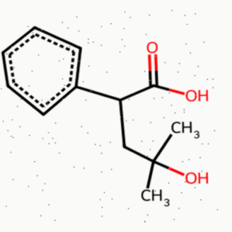 CC(C)(O)CC(C(=O)O)c1ccccc1